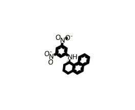 O=[N+]([O-])c1cc(N[C@@H]2CCCc3ccc4ccccc4c32)cc([N+](=O)[O-])c1